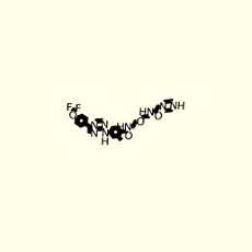 Cc1cc(Nc2nccn3c(-c4ccc(OC(F)F)cc4)cnc23)ccc1C(=O)NCCOCCNC(=O)CN1CCNCC1